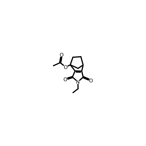 CCN1C(=O)C2=C(C1=O)C1(OC(C)=O)CCC2C1